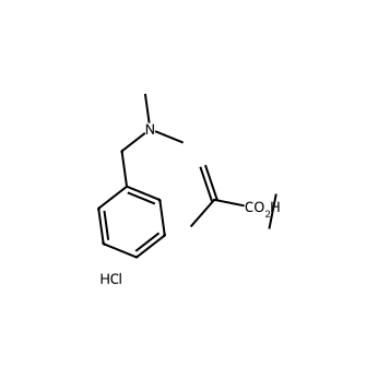 C=C(C)C(=O)O.CC.CN(C)Cc1ccccc1.Cl